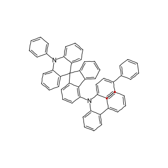 c1ccc(-c2ccc(N(c3ccccc3-c3ccccc3)c3cccc4c3-c3ccccc3C43c4ccccc4N(c4ccccc4)c4ccccc43)cc2)cc1